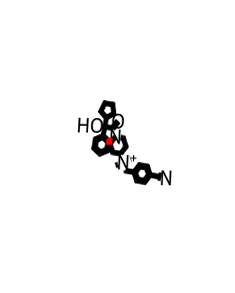 C[N+](C)(Cc1ccc(C#N)cc1)C1CCN(C(=O)C(O)(c2ccccc2)C2CCCC2)CC1